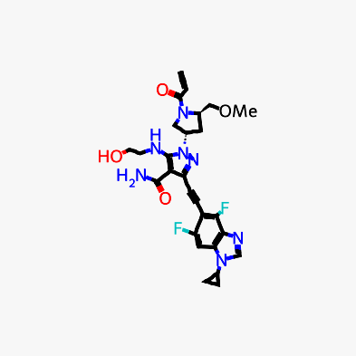 C=CC(=O)N1C[C@@H](n2nc(C#Cc3c(F)cc4c(ncn4C4CC4)c3F)c(C(N)=O)c2NCCO)C[C@@H]1COC